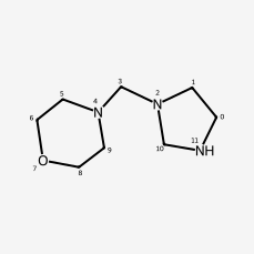 C1CN(CN2CCOCC2)CN1